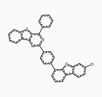 Clc1ccc2c(c1)oc1c(-c3ccc(-c4nc(-c5ccccc5)c5sc6ccccc6c5n4)cc3)cccc12